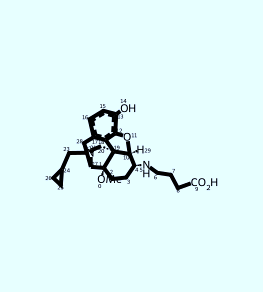 CO[C@@]12CC[C@@H](NCCCC(=O)O)[C@@H]3Oc4c(O)ccc5c4[C@@]31CCN(CC1CC1)C2C5